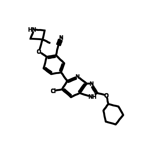 CC1(Oc2ccc(-c3nc4nc(OC5CCCCC5)[nH]c4cc3Cl)cc2C#N)CNC1